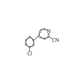 N#Cc1cc(-c2[c]ccc(Cl)c2)ccn1